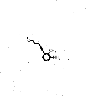 Cc1c(N)cccc1C#CCCCOI